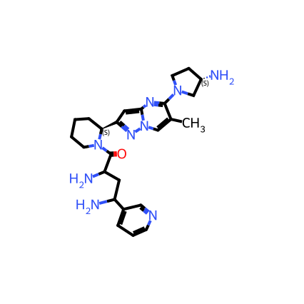 Cc1cn2nc([C@@H]3CCCCN3C(=O)C(N)CC(N)c3cccnc3)cc2nc1N1CC[C@H](N)C1